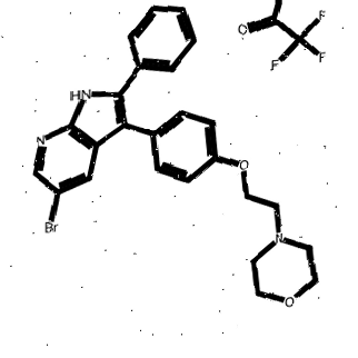 Brc1cnc2[nH]c(-c3ccccc3)c(-c3ccc(OCCN4CCOCC4)cc3)c2c1.O=C(O)C(F)(F)F